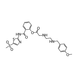 COc1ccc(CNCCNCC(=O)Oc2ccccc2C(=O)Nc2ncc(S(C)(=O)=O)s2)cc1